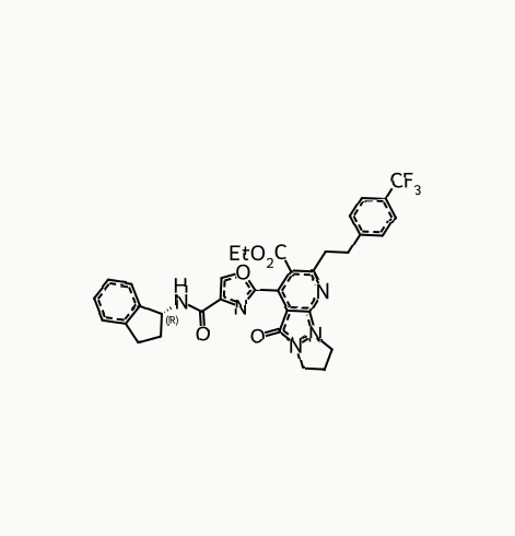 CCOC(=O)c1c(CCc2ccc(C(F)(F)F)cc2)nc2c(c1-c1nc(C(=O)N[C@@H]3CCc4ccccc43)co1)c(=O)n1n2CCC1